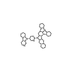 c1ccc2cc3c(cc2c1)c1c2c4ccccc4n4c5ccccc5c(cc1n3-c1ccc(-n3c5ccccc5c5ccncc53)cn1)c24